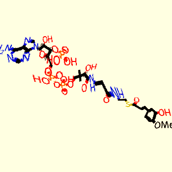 COc1ccc(C=CC(=O)SCCNC(=O)CCNC(=O)[C@H](O)C(C)(C)COP(=O)(O)OP(=O)(O)OC[C@H]2O[C@@H](n3cnc4c(N)ncnc43)[C@H](O)[C@@H]2OP(=O)(O)O)cc1O